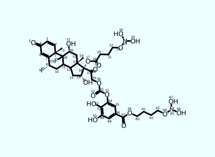 C[C@]12C=CC(=O)C=C1[C@@H](F)CC1C3C[C@@H](O)[C@](OC(=O)CCCON(O)O)(C(=O)COC(=O)Oc4cc(C(=O)OCCCCON(O)O)cc(O)c4O)[C@@]3(C)C[C@H](O)C12F